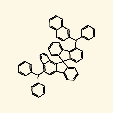 c1ccc(N(c2ccc3ccccc3c2)c2cccc3c2-c2ccccc2C32c3ccccc3-c3cc(N(c4ccccc4)c4ccccc4)c4ccccc4c32)cc1